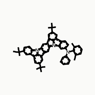 Cc1cccc(C)c1N(c1ccccc1)c1ccc2c3cc(C(C)(C)C)cc4c5cc6c(cc5n(c2c1)c34)c1cc(C(C)(C)C)cc2c3cc(C(C)(C)C)ccc3n6c21